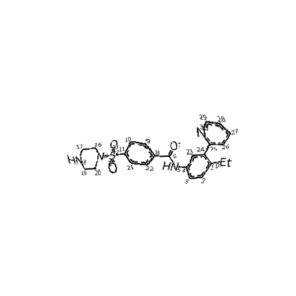 CCc1ccc(NC(=O)c2ccc(S(=O)(=O)N3CCNCC3)cc2)cc1-c1ccccn1